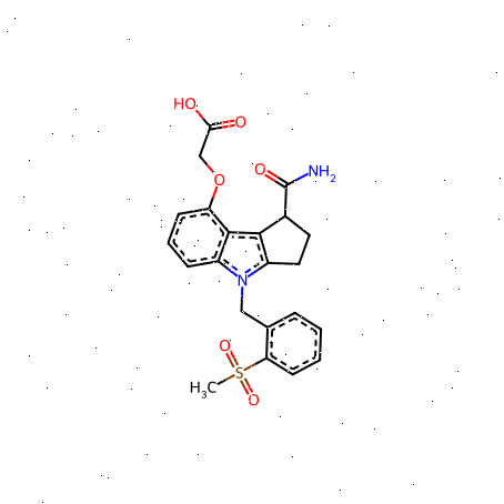 CS(=O)(=O)c1ccccc1Cn1c2c(c3c(OCC(=O)O)cccc31)C(C(N)=O)CC2